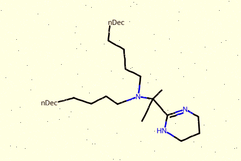 CCCCCCCCCCCCCCN(CCCCCCCCCCCCCC)C(C)(C)C1=NCCCN1